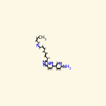 C/C=C\C/N=C\C=C/C/C=C/Cc1nnc2ccc(-c3ccc(N)nc3)nn12